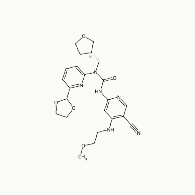 COCCNc1cc(NC(=O)N(C[C@@H]2CCOC2)c2cccc(C3OCCO3)n2)ncc1C#N